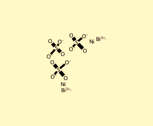 O=S(=O)([O-])[O-].O=S(=O)([O-])[O-].O=S(=O)([O-])[O-].[Bi+3].[Bi+3].[Ni].[Ni]